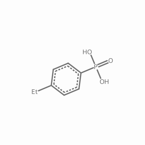 CCc1ccc(P(=O)(O)O)cc1